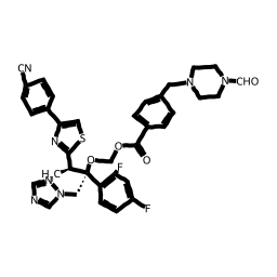 C[C@@H](c1nc(-c2ccc(C#N)cc2)cs1)[C@@](Cn1cncn1)(OCOC(=O)c1ccc(CN2CCN(C=O)CC2)cc1)c1ccc(F)cc1F